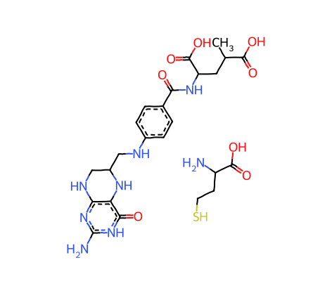 CC(CC(NC(=O)c1ccc(NCC2CNc3nc(N)[nH]c(=O)c3N2)cc1)C(=O)O)C(=O)O.NC(CCS)C(=O)O